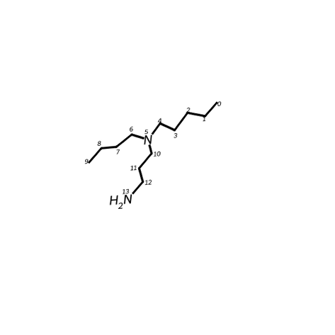 CCCCCN(CCCC)CCCN